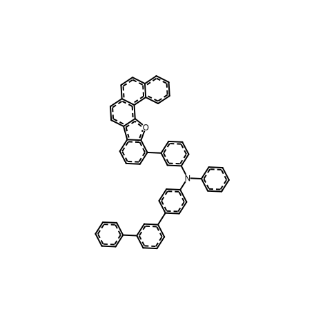 c1ccc(-c2cccc(-c3ccc(N(c4ccccc4)c4cccc(-c5cccc6c5oc5c6ccc6ccc7ccccc7c65)c4)cc3)c2)cc1